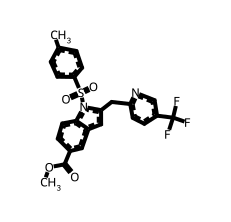 COC(=O)c1ccc2c(c1)cc(Cc1ccc(C(F)(F)F)cn1)n2S(=O)(=O)c1ccc(C)cc1